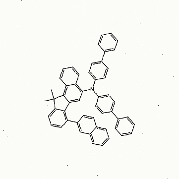 CC1(C)c2cccc(-c3ccc4ccccc4c3)c2-c2cc(N(c3ccc(-c4ccccc4)cc3)c3ccc(-c4ccccc4)cc3)c3ccccc3c21